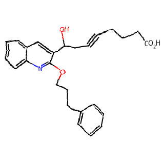 O=C(O)CCCC#CCC(O)c1cc2ccccc2nc1OCCCc1ccccc1